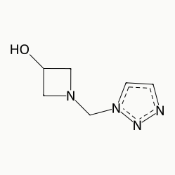 OC1CN(Cn2ccnn2)C1